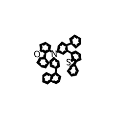 c1ccc(-c2ccc(N(c3ccc(-c4cccc5ccccc45)cc3)c3cccc4oc5ccccc5c34)cc2-c2cccc3c2sc2ccccc23)cc1